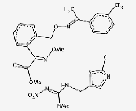 CN/C(=N\[N+](=O)[O-])NCc1cnc(Cl)s1.CO/N=C(/C(=O)OC)c1ccccc1CO/N=C(\C)c1cccc(C(F)(F)F)c1